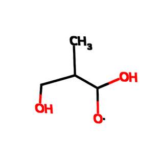 CC(CO)C([O])O